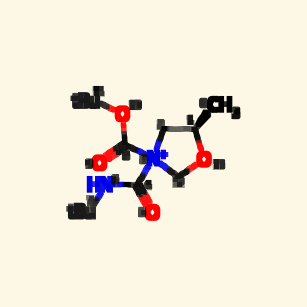 C[C@@H]1C[N+](C(=O)NC(C)(C)C)(C(=O)OC(C)(C)C)CO1